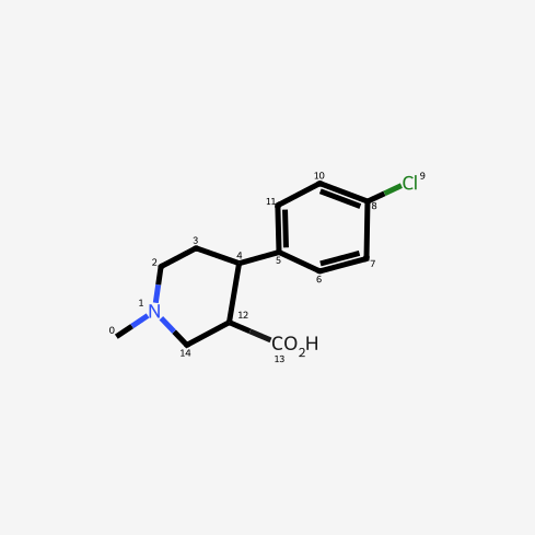 CN1CCC(c2ccc(Cl)cc2)C(C(=O)O)C1